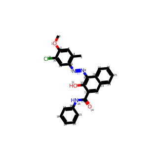 COc1cc(C)c(/N=N/c2c(O)c(C(=O)Nc3ccccc3)cc3ccccc23)cc1Cl